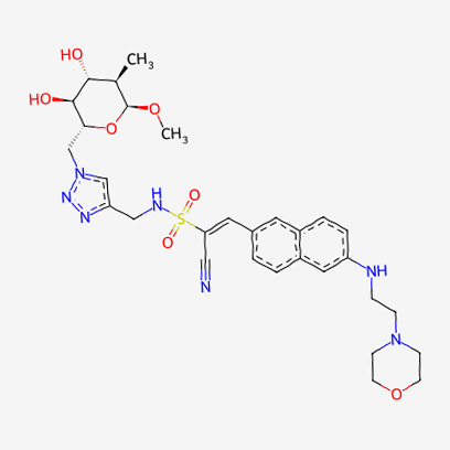 CO[C@H]1O[C@H](Cn2cc(CNS(=O)(=O)/C(C#N)=C/c3ccc4cc(NCCN5CCOCC5)ccc4c3)nn2)[C@@H](O)[C@H](O)[C@H]1C